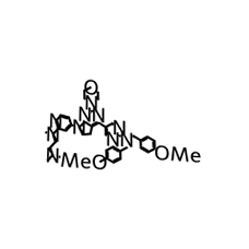 COc1ccc(CN(Cc2ccc(OC)cc2)c2ncc(-c3nc(N4CCOCC4)nc4c3CCN4c3ccnc(N(C)CCN(C)C)c3)cn2)cc1